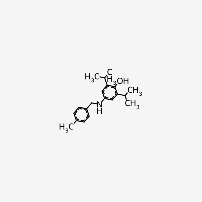 Cc1ccc(CNc2cc(C(C)C)c(O)c(C(C)C)c2)cc1